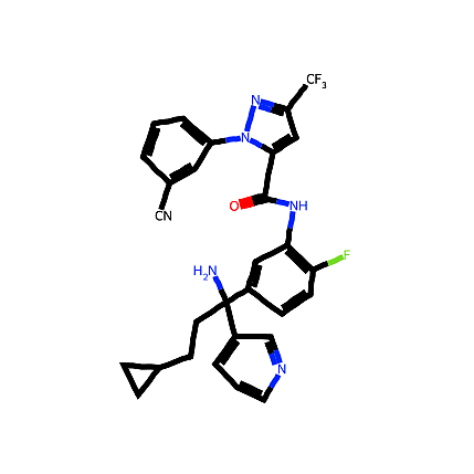 N#Cc1cccc(-n2nc(C(F)(F)F)cc2C(=O)Nc2cc(C(N)(CCC3CC3)c3cccnc3)ccc2F)c1